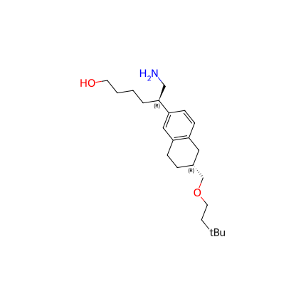 CC(C)(C)CCOC[C@@H]1CCc2cc([C@H](CN)CCCCO)ccc2C1